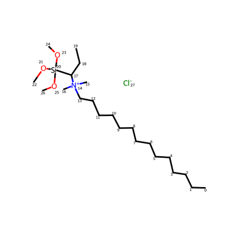 CCCCCCCCCCCCCC[N+](C)(C)C(CC)[Si](OC)(OC)OC.[Cl-]